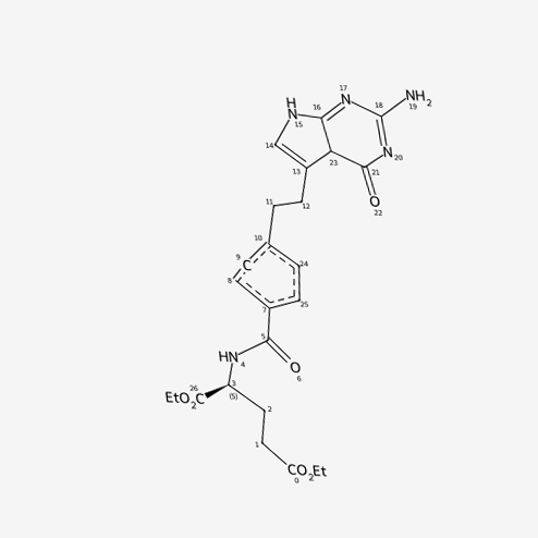 CCOC(=O)CC[C@H](NC(=O)c1ccc(CCC2=CNC3=NC(N)=NC(=O)C23)cc1)C(=O)OCC